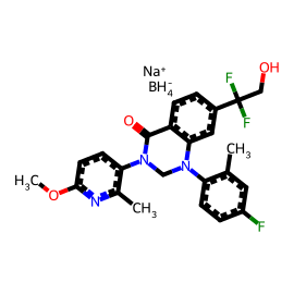 COc1ccc(N2CN(c3ccc(F)cc3C)c3cc(C(F)(F)CO)ccc3C2=O)c(C)n1.[BH4-].[Na+]